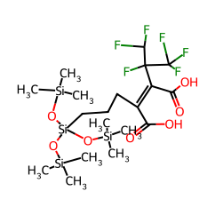 C[Si](C)(C)O[Si](CCCC(C(=O)O)=C(C(=O)O)C(F)(C(F)F)C(F)(F)F)(O[Si](C)(C)C)O[Si](C)(C)C